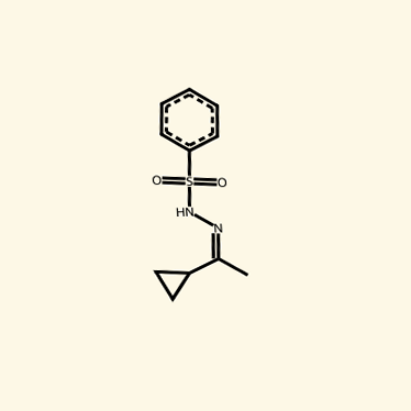 CC(=NNS(=O)(=O)c1ccccc1)C1CC1